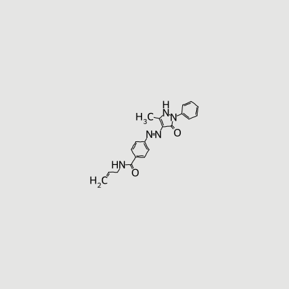 C=CCNC(=O)c1ccc(N=Nc2c(C)[nH]n(-c3ccccc3)c2=O)cc1